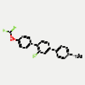 CCCCc1ccc(-c2ccc(-c3ccc(OC(F)F)cc3)c(F)c2)cc1